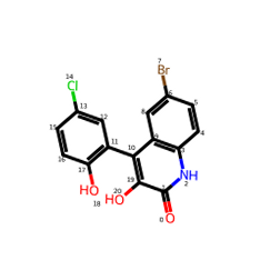 O=c1[nH]c2ccc(Br)cc2c(-c2cc(Cl)ccc2O)c1O